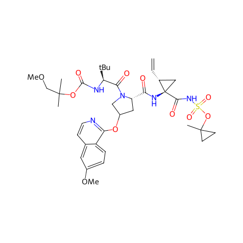 C=C[C@@H]1C[C@]1(NC(=O)[C@@H]1CC(Oc2nccc3cc(OC)ccc23)CN1C(=O)[C@@H](NC(=O)OC(C)(C)COC)C(C)(C)C)C(=O)NS(=O)(=O)OC1(C)CC1